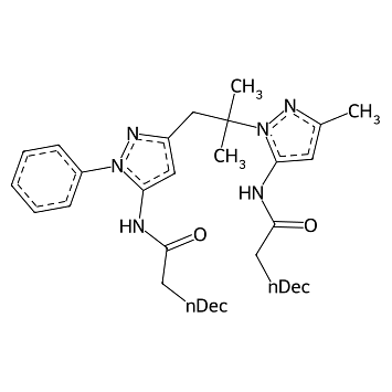 CCCCCCCCCCCC(=O)Nc1cc(CC(C)(C)n2nc(C)cc2NC(=O)CCCCCCCCCCC)nn1-c1ccccc1